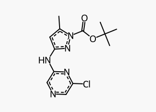 Cc1cc(Nc2cncc(Cl)n2)nn1C(=O)OC(C)(C)C